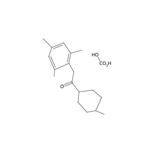 Cc1cc(C)c(CC(=O)C2CCC(C)CC2)c(C)c1.O=C(O)O